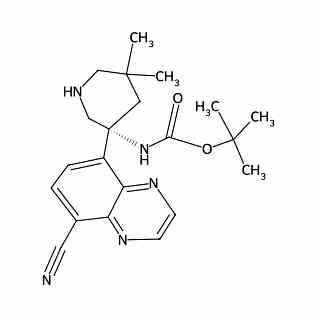 CC1(C)CNC[C@](NC(=O)OC(C)(C)C)(c2ccc(C#N)c3nccnc23)C1